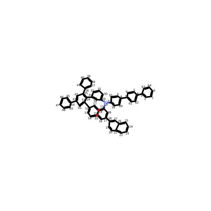 c1ccc(-c2ccc(-c3ccc(N(c4cccc(-c5ccc6ccccc6c5)c4)c4cccc(-c5c(-c6ccccc6)cc(-c6ccccc6)cc5-c5ccccc5)c4)cc3)cc2)cc1